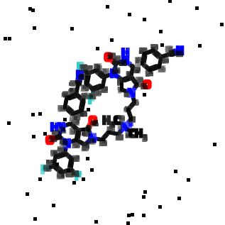 C[N+](C)(CCCN1CC2=C(C1=O)[C@@H](c1ccc(C#N)cc1)NC(=O)N2c1cc(F)cc(F)c1)CCCN1CC2=C(C1=O)[C@@H](c1ccc(C#N)cc1)NC(=O)N2c1cc(F)cc(F)c1